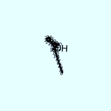 CCCCCCCCCCCCCCC(C)c1cc(C(C)(C)c2ccccc2)cc(C)c1O